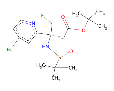 CC(C)(C)OC(=O)C[C@](CF)(N[S@+]([O-])C(C)(C)C)c1cc(Br)ccn1